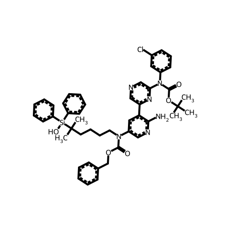 CC(C)(C)OC(=O)N(c1cccc(Cl)c1)c1cncc(-c2cc(N(CCCCC(C)(C)[Si](O)(c3ccccc3)c3ccccc3)C(=O)OCc3ccccc3)cnc2N)n1